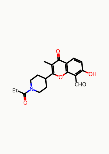 CCC(=O)N1CCC(c2oc3c(C=O)c(O)ccc3c(=O)c2C)CC1